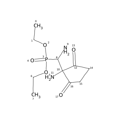 CCOP(=O)(OCC)C(N)C1(N)C(=O)CCC1=O